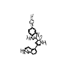 O=c1[nH]cc(-c2cccc3[nH]ccc23)cc1-c1nc2cc(N3CCNCC3)ccc2[nH]1